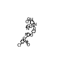 O=C=Nc1cc(Cl)ccc1OCc1cc(OC2CCN(Cc3nc4ccc(C(=O)O)cc4n3Cc3ncco3)CC2)ccn1